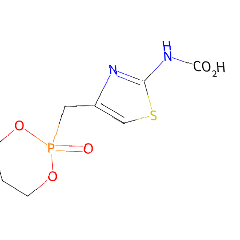 O=C(O)Nc1nc(CP2(=O)OCCCO2)cs1